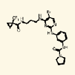 O=C(Nc1cccc(Nc2ncc(Br)c(NCCCNC(=O)C3(C(F)(F)F)CC3)n2)c1)N1CCCC1